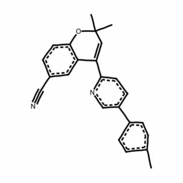 Cc1ccc(-c2ccc(C3=CC(C)(C)Oc4ccc(C#N)cc43)nc2)cc1